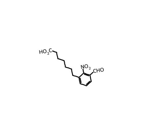 O=Cc1cccc(CCCCCCC(=O)O)c1[N+](=O)[O-]